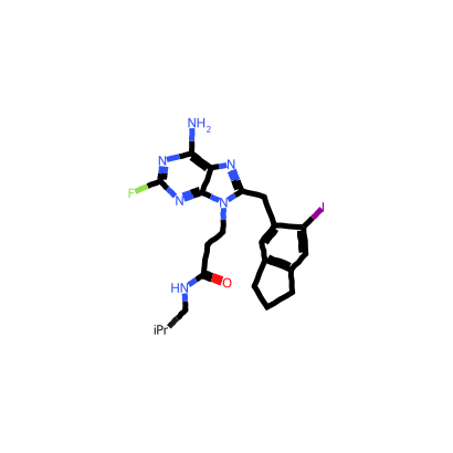 CC(C)CNC(=O)CCn1c(Cc2cc3c(cc2I)CCC3)nc2c(N)nc(F)nc21